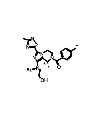 CC(=O)N(CCO)c1nc(-c2nc(C)ns2)n2c1[C@@H](C)N(C(=O)c1ccc(F)cc1)CC2